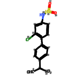 O=CC(c1ccc(-c2ccc(N[SH](=O)=O)cc2Cl)cc1)[N+](=O)[O-]